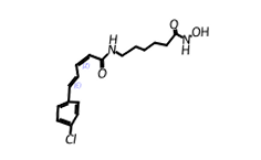 O=C(/C=C\C=C\c1ccc(Cl)cc1)NCCCCCC(=O)NO